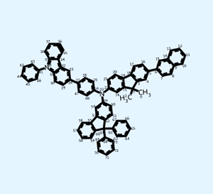 CC1(C)c2cc(-c3ccc4ccccc4c3)ccc2-c2ccc(N(c3ccc(-c4ccc5c(c4)c4c#cccc4n5-c4ccccc4)cc3)c3ccc4c(c3)-c3ccccc3C4(c3ccccc3)c3ccccc3)cc21